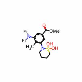 CCN(CC)c1cc(C(=O)OC)cc(N2CCCCS2(O)O)c1C